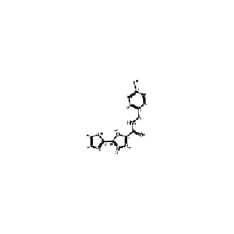 O=C(NCc1ccc(F)cc1)c1nnc(-c2cccs2)o1